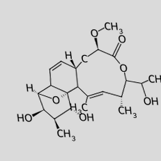 CO[C@@H]1C[C@H]2C=CC3C4[C@H](O)[C@@H](C)[C@@H](O)[C@@H]3O[C@]42/C(C)=C/[C@@H](C)C(C(C)O)OC1=O